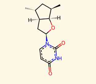 C[C@@H]1C[C@@H](C)[C@H]2O[C@@H](n3ccc(=O)[nH]c3=O)C[C@H]21